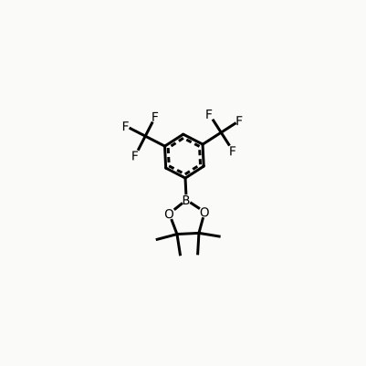 CC1(C)OB(c2cc(C(F)(F)F)cc(C(F)(F)F)c2)OC1(C)C